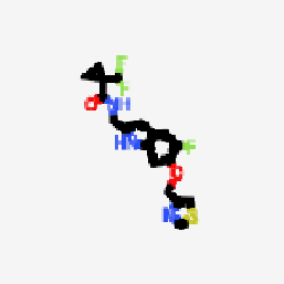 O=C(NCc1cc2cc(F)c(OCc3cscn3)cc2[nH]1)C1(C(F)F)CC1